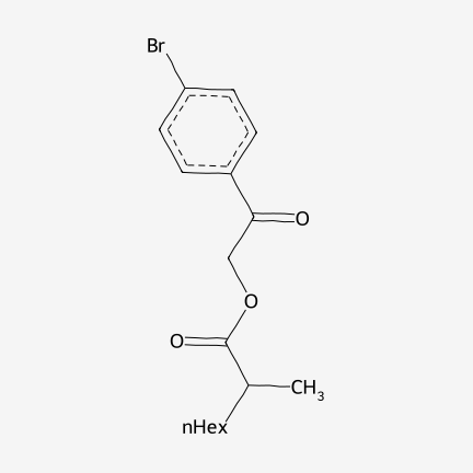 CCCCCCC(C)C(=O)OCC(=O)c1ccc(Br)cc1